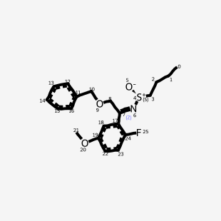 CCCC[S@@+]([O-])/N=C(\COCc1ccccc1)c1cc(OC)ccc1F